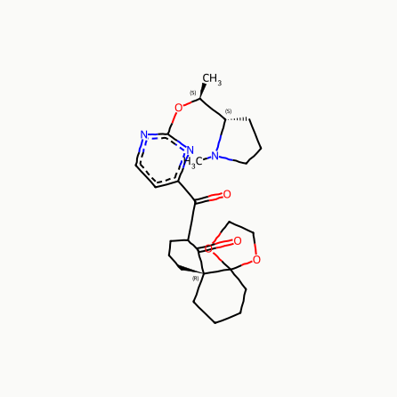 C[C@H](Oc1nccc(C(=O)C2CCC[C@@]3(CCCCC34OCCO4)C2=O)n1)[C@@H]1CCCN1C